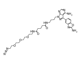 [N-]=[N+]=NCCOCCOCCOCCNC(=O)CCCC(=O)NCCCCn1nc(-c2ccc3oc(N)nc3c2)c2c(N)ncnc21